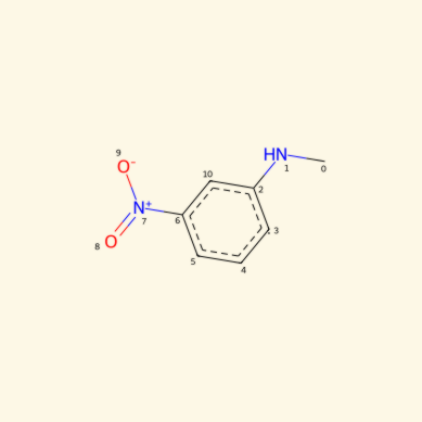 CNc1[c]ccc([N+](=O)[O-])c1